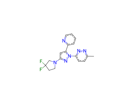 Cc1ccc(-n2nc(N3CCC(F)(F)C3)cc2-c2ccccn2)nn1